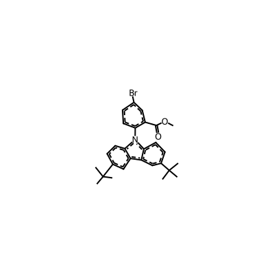 COC(=O)c1cc(Br)ccc1-n1c2ccc(C(C)(C)C)cc2c2cc(C(C)(C)C)ccc21